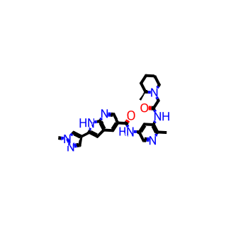 Cc1ncc(NC(=O)c2cnc3[nH]c(-c4cnn(C)c4)cc3c2)cc1NC(=O)CN1CCCC[C@@H]1C